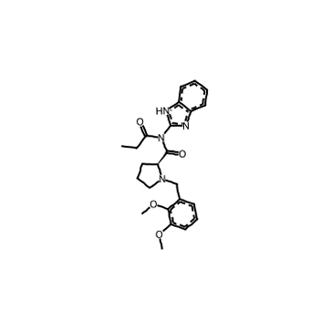 CCC(=O)N(C(=O)[C@@H]1CCCN1Cc1cccc(OC)c1OC)c1nc2ccccc2[nH]1